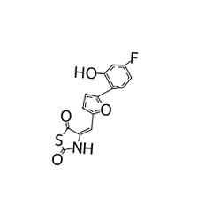 O=C1NC(=Cc2ccc(-c3ccc(F)cc3O)o2)C(=O)S1